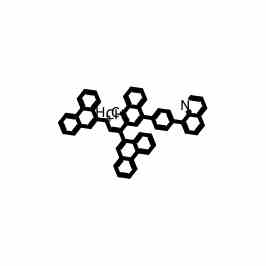 C=C(/C=C(\c1cc(-c2ccc(-c3cccc4cccnc34)cc2)c2ccccc2c1C)c1cc2ccccc2c2ccccc12)c1cc2ccccc2c2ccccc12